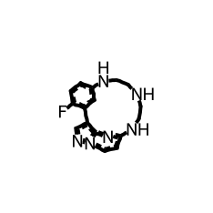 Fc1ccc2cc1-c1cnn3ccc(nc13)NCCNCCN2